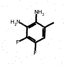 Cc1cc(F)c(F)c(N)c1N